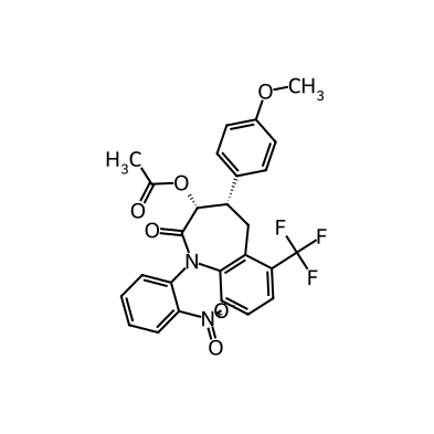 COc1ccc([C@@H]2Cc3c(cccc3C(F)(F)F)N(c3ccccc3[N+](=O)[O-])C(=O)[C@@H]2OC(C)=O)cc1